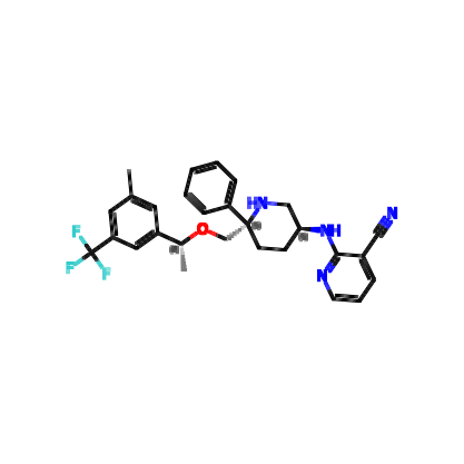 Cc1cc([C@@H](C)OC[C@@]2(c3ccccc3)CC[C@H](Nc3ncccc3C#N)CN2)cc(C(F)(F)F)c1